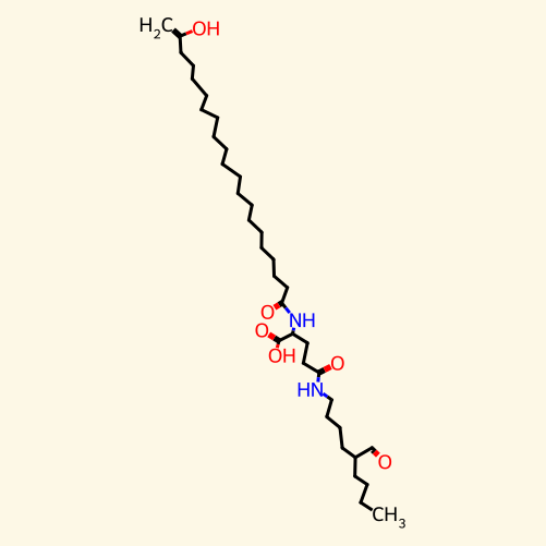 C=C(O)CCCCCCCCCCCCCCCCCCC(=O)NC(CCC(=O)NCCCCC(C=O)CCCC)C(=O)O